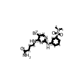 CN(C)S(=O)(=O)c1cccc(Nc2ncc(Br)c(NCCCC(N)=O)n2)c1